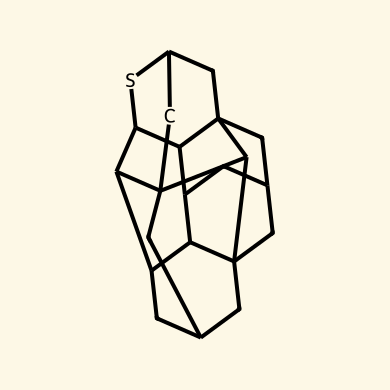 C1C2CC34CC5CC6C3C1C1C3SC7CC1(C2)C4C(C5)(C7)C63